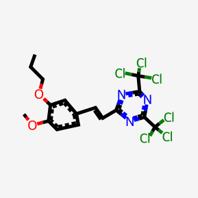 CCCOc1cc(C=Cc2nc(C(Cl)(Cl)Cl)nc(C(Cl)(Cl)Cl)n2)ccc1OC